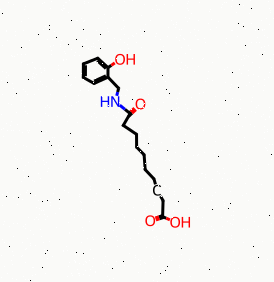 O=C(O)CCCCCCCCC(=O)NCc1ccccc1O